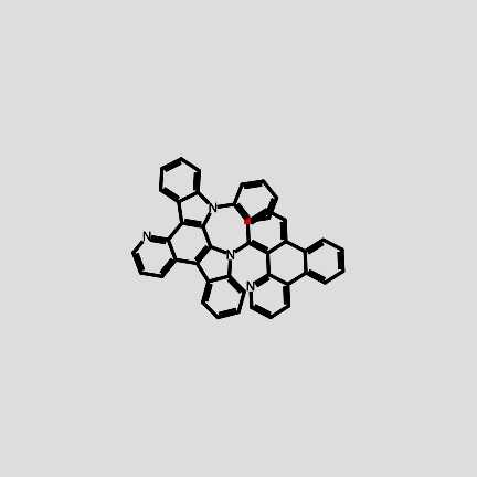 c1ccc(-n2c3ccccc3c3c4ncccc4c4c5ccccc5n(-c5cccc6c7ccccc7c7cccnc7c56)c4c32)cc1